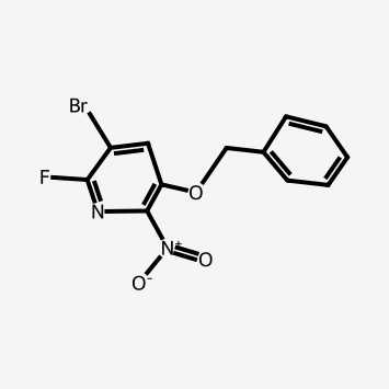 O=[N+]([O-])c1nc(F)c(Br)cc1OCc1ccccc1